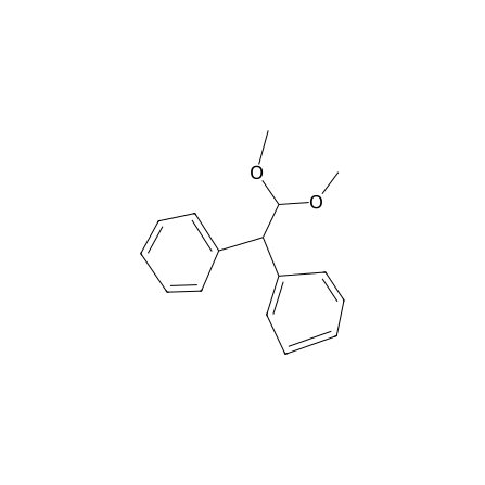 COC(OC)C(c1ccccc1)c1ccccc1